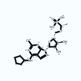 C[C@H](OC[C@H]1O[C@@H](n2ncc3c(NC4CCCC4)nc(Cl)nc32)[C@H](O)[C@@H]1O)P(=O)(O)O